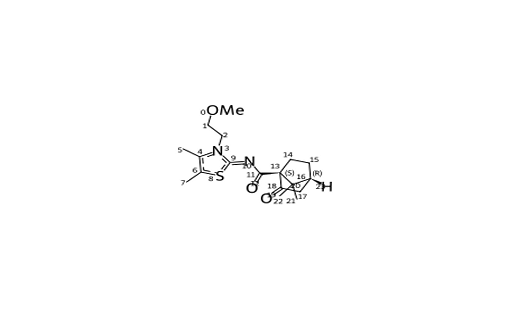 COCCn1c(C)c(C)sc1=NC(=O)[C@]12CC[C@H](CC1=O)C2(C)C